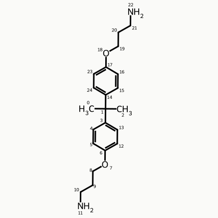 CC(C)(c1ccc(OCCCN)cc1)c1ccc(OCCCN)cc1